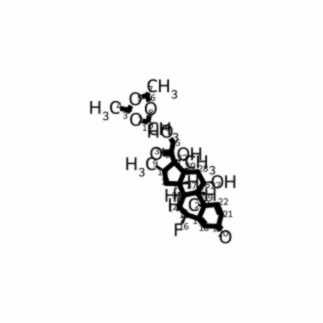 CC1OC(C)OC(C)O1.C[C@@H]1C[C@H]2[C@@H]3C[C@H](F)C4=CC(=O)C=C[C@]4(C)[C@H]3[C@@H](O)C[C@]2(C)[C@@]1(O)C(=O)CO